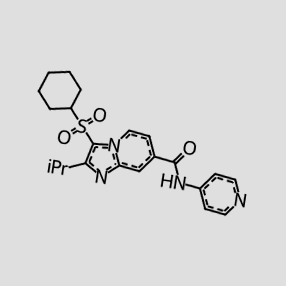 CC(C)c1nc2cc(C(=O)Nc3ccncc3)ccn2c1S(=O)(=O)C1CCCCC1